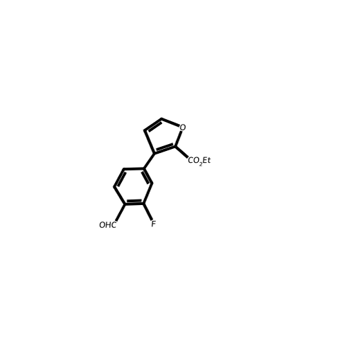 CCOC(=O)c1occc1-c1ccc(C=O)c(F)c1